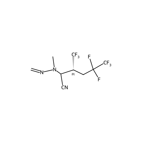 C=NN(C)C(C#N)[C@@H](CC(F)(F)C(F)(F)F)C(F)(F)F